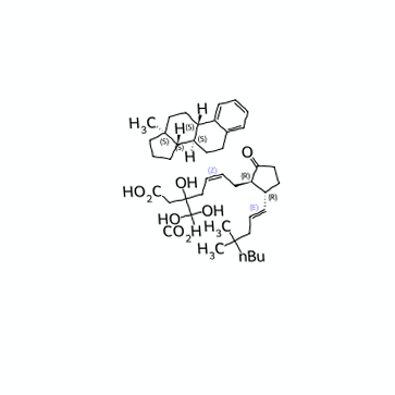 CCCCC(C)(C)C/C=C/[C@H]1CCC(=O)[C@@H]1C/C=C\CC(O)(CC(=O)O)C(O)(O)C(=O)O.C[C@@]12CCC[C@H]1[C@@H]1CCc3ccccc3[C@H]1CC2